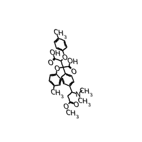 COC(=O)CC(c1ccc(C(Oc2ccc(C)cc2)(C(=O)O)C(Oc2ccc(C)cc2)C(=O)O)cc1)N(C)C